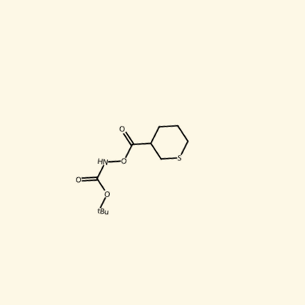 CC(C)(C)OC(=O)NOC(=O)C1CCCSC1